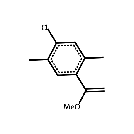 C=C(OC)c1cc(C)c(Cl)cc1C